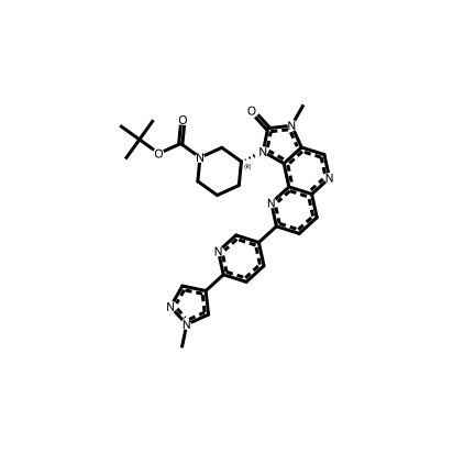 Cn1cc(-c2ccc(-c3ccc4ncc5c(c4n3)n([C@@H]3CCCN(C(=O)OC(C)(C)C)C3)c(=O)n5C)cn2)cn1